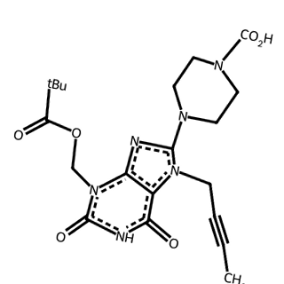 CC#CCn1c(N2CCN(C(=O)O)CC2)nc2c1c(=O)[nH]c(=O)n2COC(=O)C(C)(C)C